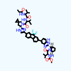 CCC(=O)NC(C(=O)N[C@H](C(=O)N1CC2(CC2)C[C@H]1c1nc(-c2ccc3c(c2)C(F)(F)c2cc(-c4ccc5[nH]c([C@@H]6[C@H]7CC[C@H](C7)N6C(=O)[C@@H](NC(=O)OC)C(C)C)nc5c4)ccc2-3)c[nH]1)C(C)C)C(C)C